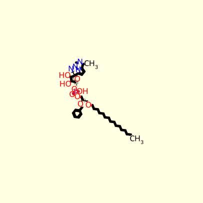 CCCCCCCCCCCCCCCCOC[C@H](COP(=O)(O)OC[C@H]1O[C@@](C#N)(c2ccc3c(C)ncnn23)[C@H](O)[C@@H]1O)OCc1ccccc1